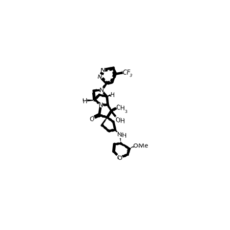 CO[C@@H]1COCC[C@@H]1N[C@@H]1CC[C@@]2(C1)C(=O)N1C([C@@H]3C[C@H]1CN3c1cc(C(F)(F)F)cnn1)C2(C)O